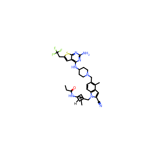 CCC(=O)NC12CC(Cn3c(C#N)cc4c(C)c(CN5CCC(Nc6nc(N)nc7sc(CC(F)(F)F)cc67)CC5)ccc43)(C1)[C@@H]2C